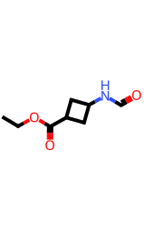 CCOC(=O)C1CC(NC=O)C1